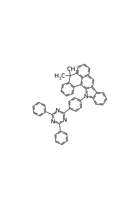 CC1(C)c2ccccc2-c2c3c1cccc3cc1c3ccccc3n(-c3ccc(-c4nc(-c5ccccc5)nc(-c5ccccc5)n4)cc3)c21